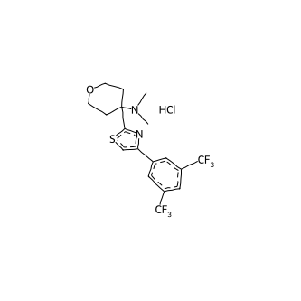 CN(C)C1(c2nc(-c3cc(C(F)(F)F)cc(C(F)(F)F)c3)cs2)CCOCC1.Cl